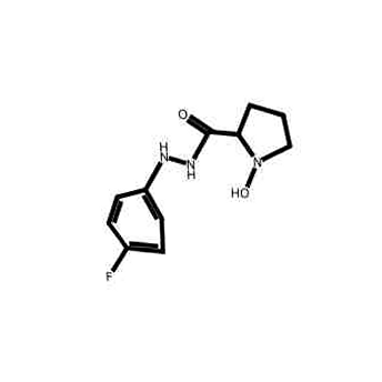 O=C(NNc1ccc(F)cc1)C1CCCN1O